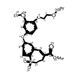 CCCOCCOc1ccc(Oc2ccc3c(c2)C=C(C(=O)OC)CCS3(=O)=O)cc1OCC